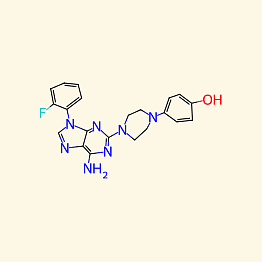 Nc1nc(N2CCN(c3ccc(O)cc3)CC2)nc2c1ncn2-c1ccccc1F